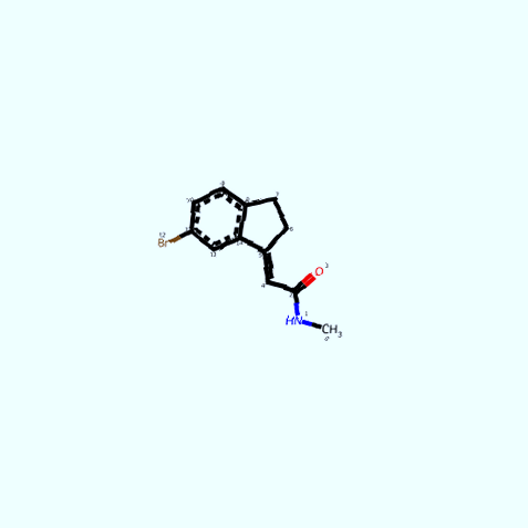 CNC(=O)C=C1CCc2ccc(Br)cc21